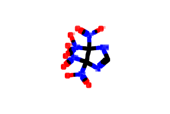 O=[N+]([O-])C1([N+](=O)[O-])N=CNC1([N+](=O)[O-])[N+](=O)[O-]